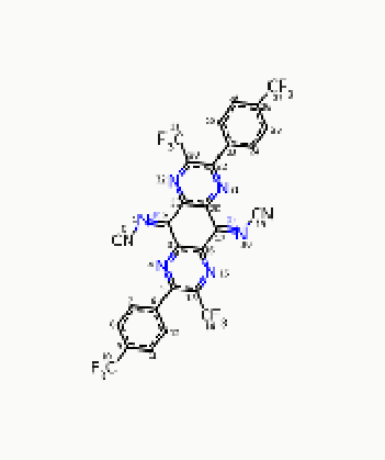 [C-]#[N+]/N=C1\c2nc(-c3ccc(C(F)(F)F)cc3)c(C(F)(F)F)nc2/C(=N/C#N)c2nc(-c3ccc(C(F)(F)F)cc3)c(C(F)(F)F)nc21